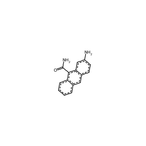 NC(=O)c1c2ccccc2cc2ccc(N)cc12